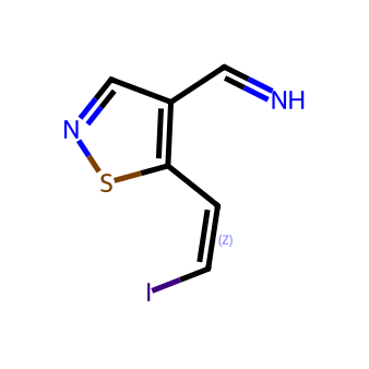 N=Cc1cnsc1/C=C\I